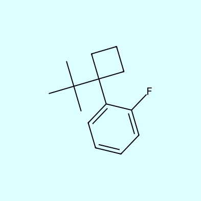 CC(C)(C)C1(c2ccccc2F)CCC1